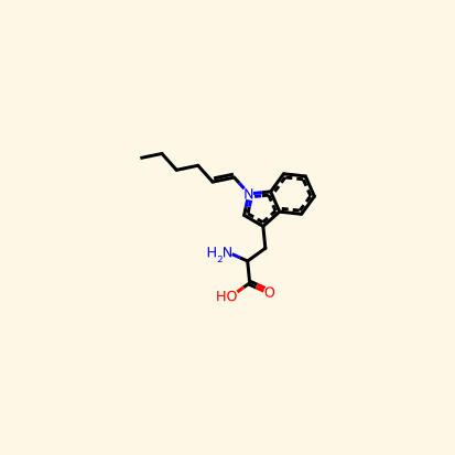 CCCCC=Cn1cc(CC(N)C(=O)O)c2ccccc21